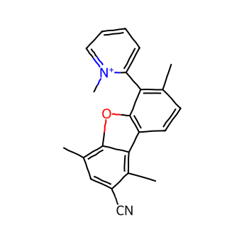 Cc1ccc2c(oc3c(C)cc(C#N)c(C)c32)c1-c1cccc[n+]1C